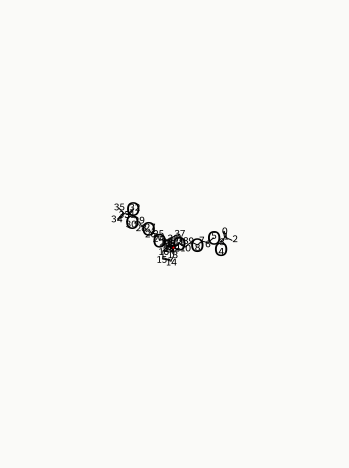 C=C(C)C(=O)OCCOCCOC1=C2C=CC(=C1)C2C1(C)C2=CC(OCCOCCOC(=O)C(=C)C)=C1C=C2